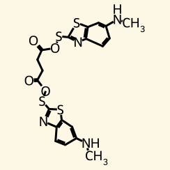 CNc1ccc2nc(SOC(=O)CCC(=O)OSc3nc4ccc(NC)cc4s3)sc2c1